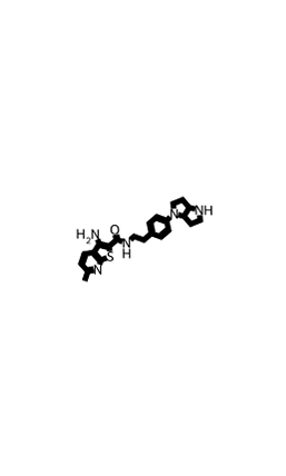 Cc1ccc2c(N)c(C(=O)NCCc3ccc(N4CCC5NCCC54)cc3)sc2n1